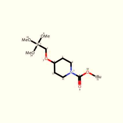 CO[Si](COC1CCN(C(=O)OC(C)(C)C)CC1)(OC)OC